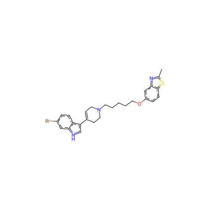 Cc1nc2cc(OCCCCCN3CC=C(c4c[nH]c5cc(Br)ccc45)CC3)ccc2s1